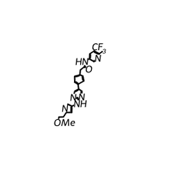 COCCC1C=C(Nc2ncc(-c3ccc(CC(=O)Nc4cnc(C)c(C(F)(F)F)c4)cc3)cn2)C=N1